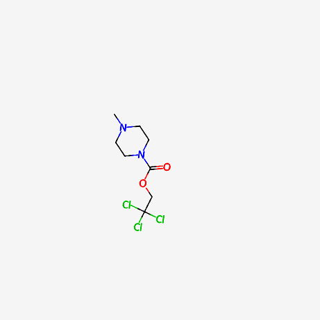 CN1CCN(C(=O)OCC(Cl)(Cl)Cl)CC1